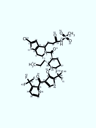 CCC[C@@H]1[C@@H](C(=O)N2CCc3sc(Cl)cc3C2CCC(=O)NS(C)(=O)=O)CCCN1Oc1c(C(=O)c2ncccc2C(F)(F)F)csc1C(F)(F)F